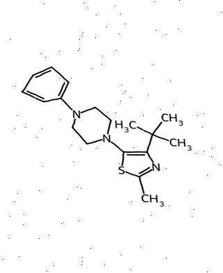 Cc1nc(C(C)(C)C)c(N2CCN(c3ccccc3)CC2)s1